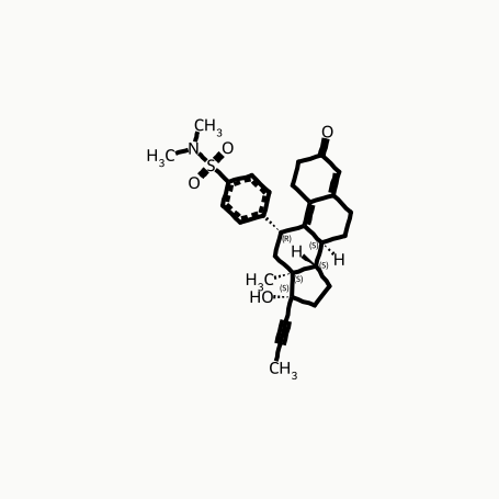 CC#C[C@]1(O)CC[C@H]2[C@@H]3CCC4=CC(=O)CCC4=C3[C@@H](c3ccc(S(=O)(=O)N(C)C)cc3)C[C@@]21C